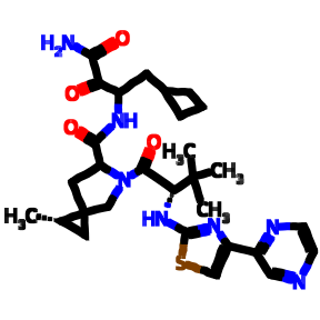 C[C@H]1CC12CC(C(=O)NC(CC1CCC1)C(=O)C(N)=O)N(C(=O)[C@@H](Nc1nc(-c3cnccn3)cs1)C(C)(C)C)C2